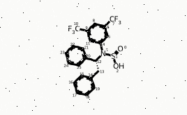 O=S(O)N(c1cc(C(F)(F)F)cc(C(F)(F)F)c1)[C@H](Cc1ccccc1)c1ccccc1